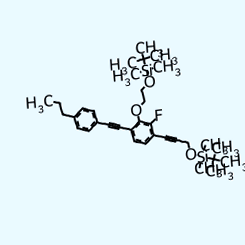 CCCc1ccc(C#Cc2ccc(C#CCO[Si](C)(C)C(C)(C)C)c(F)c2OCCO[Si](C)(C)C(C)(C)C)cc1